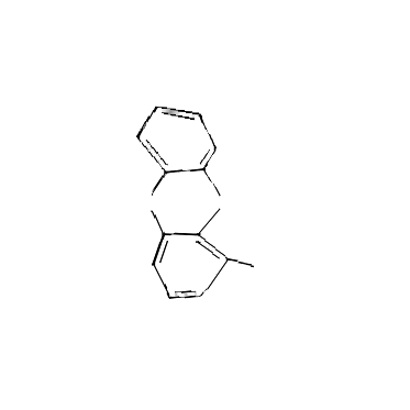 Sc1cccc2c1Sc1ccccc1S2